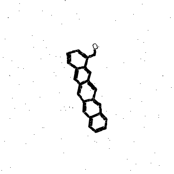 [O]Cc1cccc2cc3cc4cc5ccccc5cc4cc3cc12